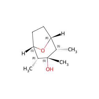 C[C@@H]1[C@@H]2CC[C@@H](O2)[C@H](C)[C@]1(C)O